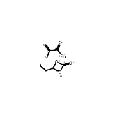 C=C(C)C(=O)O.CCC1OC(=O)O1